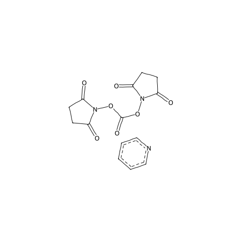 O=C(ON1C(=O)CCC1=O)ON1C(=O)CCC1=O.c1ccncc1